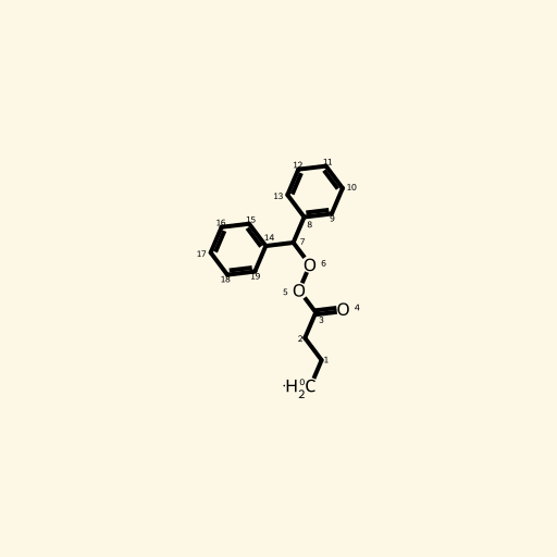 [CH2]CCC(=O)OOC(c1ccccc1)c1ccccc1